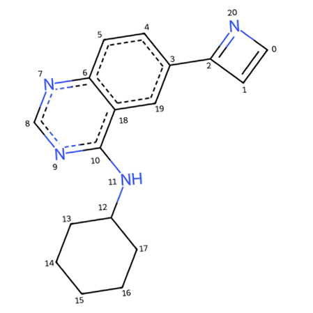 C1=CC(c2ccc3ncnc(NC4CCCCC4)c3c2)=N1